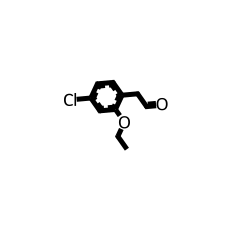 CCOc1cc(Cl)ccc1CC=O